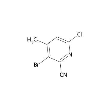 Cc1cc(Cl)nc(C#N)c1Br